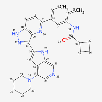 C=C/C(=C\C(=C/C)c1ccc2[nH]nc(-c3cc4c(N5CCCCC5)cncc4[nH]3)c2n1)NC(=O)C1CCC1